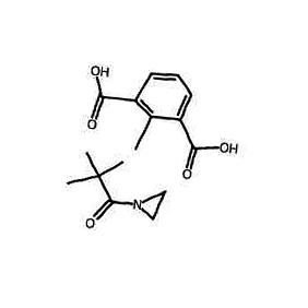 CC(C)(C)C(=O)N1CC1.Cc1c(C(=O)O)cccc1C(=O)O